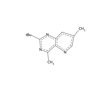 Cc1cnc2c(C)nc(C(C)(C)C)nc2c1